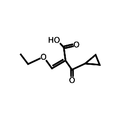 CCOC=C(C(=O)O)C(=O)C1CC1